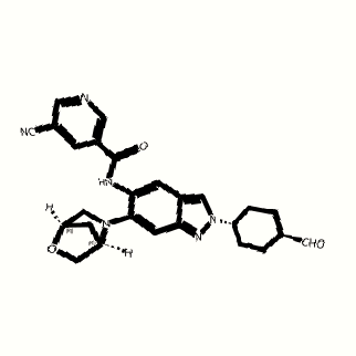 N#Cc1cncc(C(=O)Nc2cc3cn([C@H]4CC[C@H](C=O)CC4)nc3cc2N2C[C@H]3C[C@@H]2CO3)c1